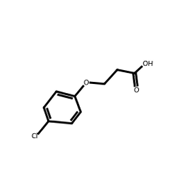 O=C(O)CCOc1ccc(Cl)cc1